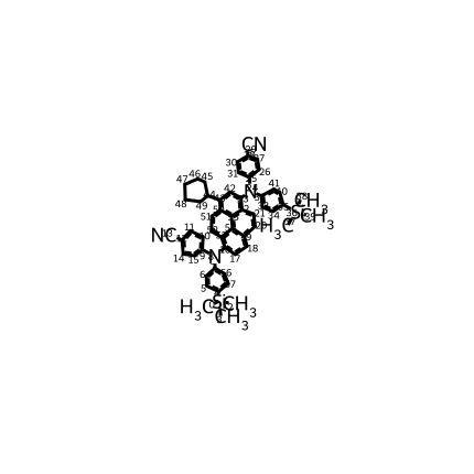 C[Si](C)(C)c1ccc(N(c2ccc(C#N)cc2)c2ccc3ccc4c(N(c5ccc(C#N)cc5)c5ccc([Si](C)(C)C)cc5)cc(C5CCCCC5)c5ccc2c3c54)cc1